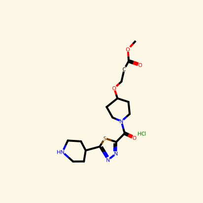 COC(=O)CCOC1CCN(C(=O)c2nnc(C3CCNCC3)s2)CC1.Cl